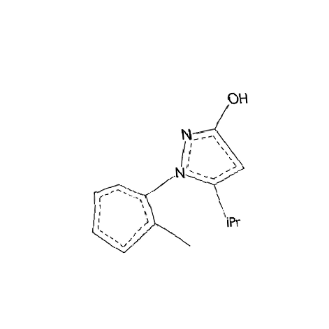 Cc1ccccc1-n1nc(O)cc1C(C)C